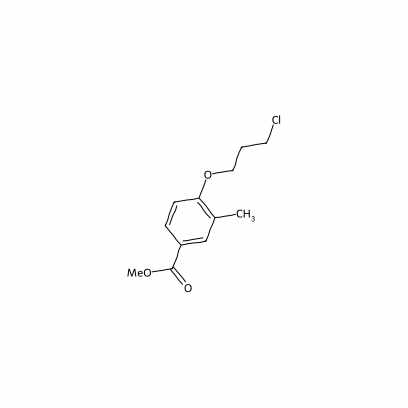 COC(=O)c1ccc(OCCCCl)c(C)c1